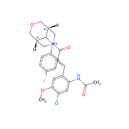 COc1cc(C=CC(=O)N2C[C@H]3COC[C@@H](C2)C3Nc2ccc(F)cc2)c(NC(C)=O)cc1Cl